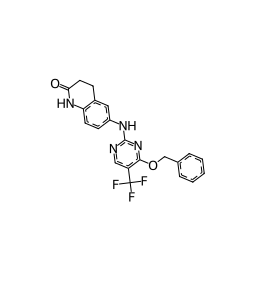 O=C1CCc2cc(Nc3ncc(C(F)(F)F)c(OCc4ccccc4)n3)ccc2N1